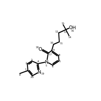 Cc1ccc(-n2cccc(CCCC(C)(C)O)c2=O)nc1